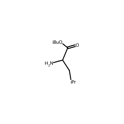 CC(C)COC(=O)C(N)CC(C)C